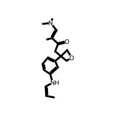 C/C=C\Nc1cccc(C2(CC(=O)/C(C)=C/N(C)C)COC2)c1